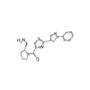 NC[C@@H]1CCCN1C(=O)c1csc(-c2cnn(-c3ccccc3)c2)n1